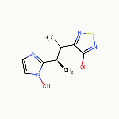 C[C@H](c1nsnc1O)[C@@H](C)c1nccn1O